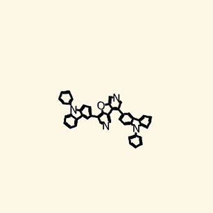 c1ccc(-n2c3ccccc3c3cc(-c4cncc5c4oc4cncc(-c6ccc7c(c6)c6ccccc6n7-c6ccccc6)c45)ccc32)cc1